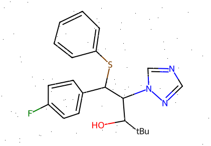 CC(C)(C)C(O)C(C(Sc1ccccc1)c1ccc(F)cc1)n1cncn1